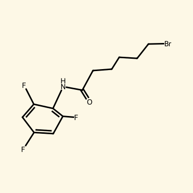 O=C(CCCCCBr)Nc1c(F)cc(F)cc1F